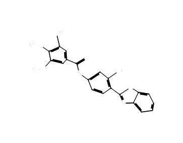 COc1cc(C(=O)Nc2ccc(-c3nc4ccccc4s3)c(O)c2)cc(OC)c1OC